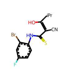 CC(C)C(O)=C(C#N)C(=S)Nc1ccc(F)cc1Br